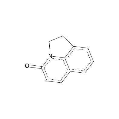 O=c1[c]cc2cccc3c2n1CC3